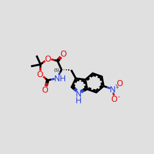 CC1(C)OC(=O)N[C@@H](Cc2c[nH]c3cc([N+](=O)[O-])ccc23)C(=O)O1